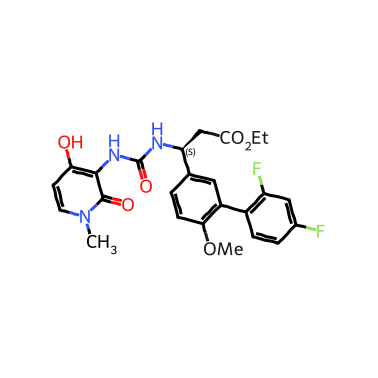 CCOC(=O)C[C@H](NC(=O)Nc1c(O)ccn(C)c1=O)c1ccc(OC)c(-c2ccc(F)cc2F)c1